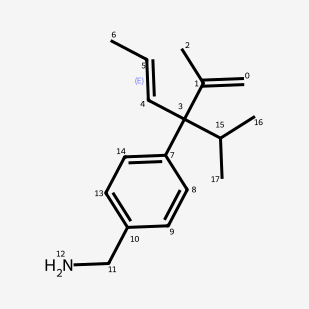 C=C(C)C(/C=C/C)(c1ccc(CN)cc1)C(C)C